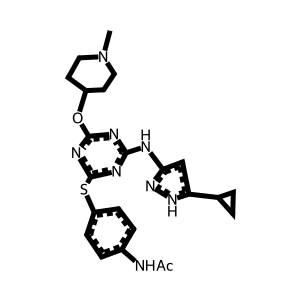 CC(=O)Nc1ccc(Sc2nc(Nc3cc(C4CC4)[nH]n3)nc(OC3CCN(C)CC3)n2)cc1